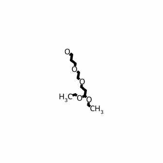 CCOC(CCOCCOCCC=O)OCC